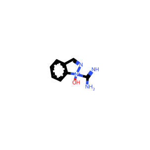 N=C(N)[N+]1(O)N=Cc2ccccc21